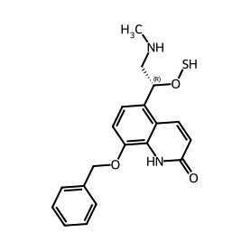 CNC[C@H](OS)c1ccc(OCc2ccccc2)c2[nH]c(=O)ccc12